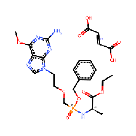 CCOC(=O)[C@@H](C)N[P@@](=O)(COCCn1cnc2c(OC)nc(N)nc21)OCc1ccccc1.O=C(O)/C=C/C(=O)O